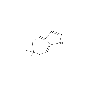 CC1(C)CC=c2cc[nH]c2=CC1